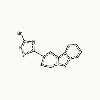 Brc1nsc(-c2ccc3sc4ccccc4c3c2)n1